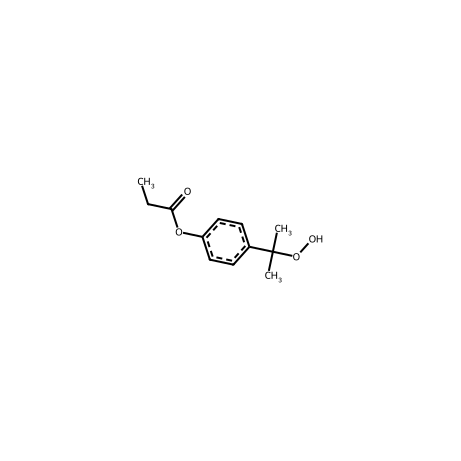 CCC(=O)Oc1ccc(C(C)(C)OO)cc1